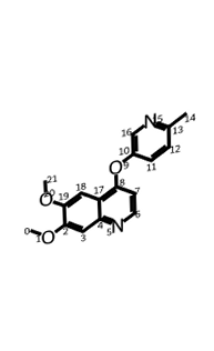 COc1cc2nccc(Oc3ccc(C)nc3)c2cc1OC